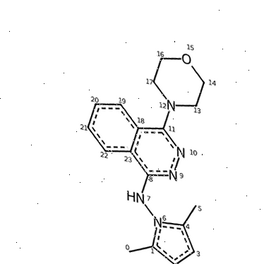 Cc1ccc(C)n1Nc1nnc(N2CCOCC2)c2ccccc12